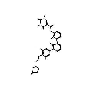 COc1cc(-c2cccc(-c3cccc(NC(=O)c4cn(C)c(=O)n(C)c4=O)c3Cl)c2F)cc(F)c1CNC[C@@H]1CCC(=O)N1